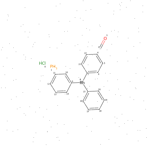 Cl.P.[C]=O.c1cc[c]([Rh]([c]2ccccc2)[c]2ccccc2)cc1